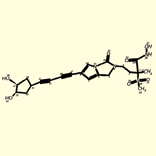 CC(CCN1Cc2cc(C#CC#CC3C[C@@H](O)[C@@H](O)C3)cn2C1=O)(C(=O)NO)S(C)(=O)=O